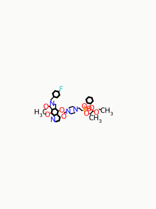 CCOC(=O)[C@H](C)OP(=O)(CCN1CCN(C(=O)Oc2c3c(c(OC)c4ncccc24)C(=O)N(Cc2ccc(F)cc2)C3)CC1)Oc1ccccc1